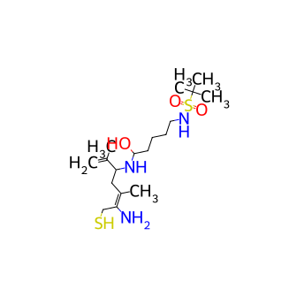 C=C(C)C(C/C(C)=C(/N)CS)NC(O)CCCCNS(=O)(=O)C(C)(C)C